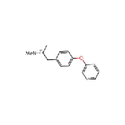 CN[C@H](C)Cc1ccc(Oc2ccccc2)cc1